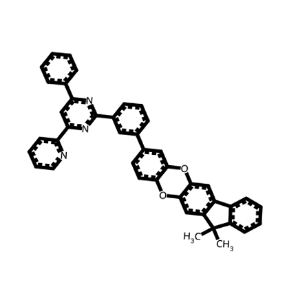 CC1(C)c2ccccc2-c2cc3c(cc21)Oc1ccc(-c2cccc(-c4nc(-c5ccccc5)cc(-c5ccccn5)n4)c2)cc1O3